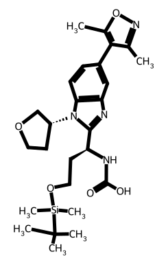 Cc1noc(C)c1-c1ccc2c(c1)nc([C@H](CCO[Si](C)(C)C(C)(C)C)NC(=O)O)n2[C@@H]1CCOC1